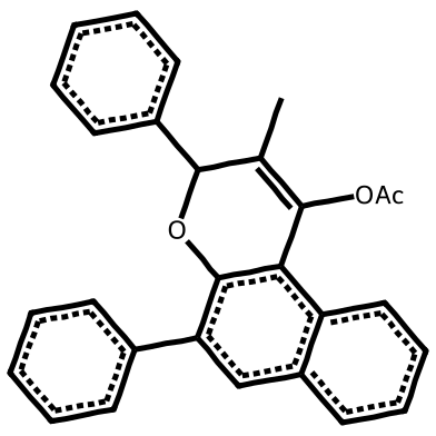 CC(=O)OC1=C(C)C(c2ccccc2)Oc2c(-c3ccccc3)cc3ccccc3c21